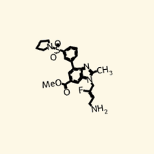 COC(=O)c1cc(-c2cccc(S(=O)(=O)N3CCCC3)c2)c2nc(C)n(CC(F)=CCN)c2c1